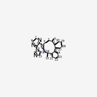 C=C1C=CN(c2nccnc2-n2ccnc2)/C=C\C(=C)c2ccccc2-c2ccccc21